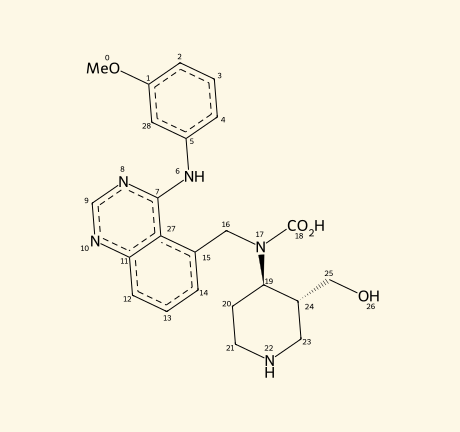 COc1cccc(Nc2ncnc3cccc(CN(C(=O)O)[C@@H]4CCNC[C@H]4CO)c23)c1